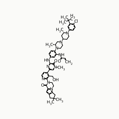 C=CC(=O)Nc1cc(Nc2nc(-c3ccnc(N4CCn5c(cc6c5CC(C)(C)C6)C4=O)c3CO)cn(C)c2=O)ccc1N1CCN(C2CCN(c3ccc(Cl)c(C(C)(C)C)c3)[C@@H](C)C2)C[C@@H]1C